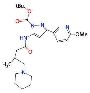 COc1ccc(-c2cc(NC(=O)CC(C)CN3CCCCC3)n(C(=O)OC(C)(C)C)n2)cn1